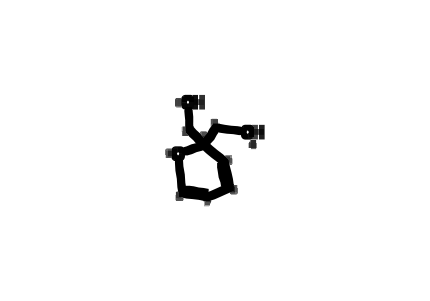 OCC1(CO)C=CC=CO1